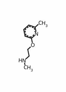 CNCCOc1cccc(C)n1